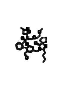 CCCCC1=NC2(CCCC2)C(=O)N1Cc1ccc(-c2ccccc2S(=O)(=O)N(COCCOC)c2cc(C)no2)c(C=O)c1